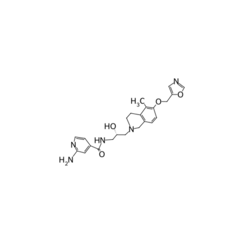 Cc1c(OCc2cnco2)ccc2c1CCN(C[C@@H](O)CNC(=O)c1ccnc(N)c1)C2